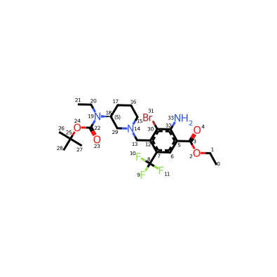 CCOC(=O)c1cc(C(F)(F)F)c(CN2CCC[C@H](N(CC)C(=O)OC(C)(C)C)C2)c(Br)c1N